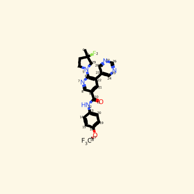 CC1(F)CCN(c2ncc(C(=O)Nc3ccc(OC(F)(F)F)cc3)cc2-c2cncnc2)C1